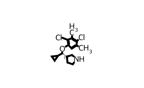 Cc1cc(OC(C2CC2)[C@H]2CCNC2)c(Cl)c(C)c1Cl